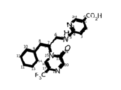 O=C(O)c1ccc(NC[C@H](CC2CCCCC2)n2cc(C(F)(F)F)ncc2=O)nc1